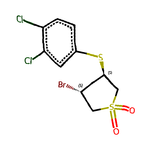 O=S1(=O)C[C@H](Sc2ccc(Cl)c(Cl)c2)[C@@H](Br)C1